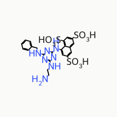 NCCNc1nc(NCc2ccccc2)nc(Nc2cc(S(=O)(=O)O)cc3cc(S(=O)(=O)O)cc(S(=O)(=O)O)c23)n1